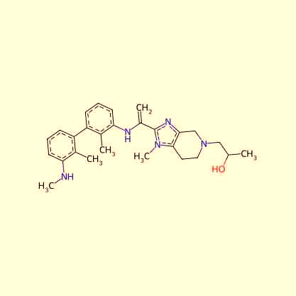 C=C(Nc1cccc(-c2cccc(NC)c2C)c1C)c1nc2c(n1C)CCN(CC(C)O)C2